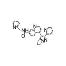 O=C(NCc1ccccn1)c1ccc2c(-c3c(-c4ccccn4)nn4c3CCC4)ccnc2c1